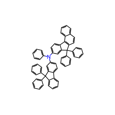 c1ccc(N(c2ccc3c(c2)C(c2ccccc2)(c2ccccc2)c2ccccc2-3)c2ccc3c(c2)C(c2ccccc2)(c2ccccc2)c2ccc4ccccc4c2-3)cc1